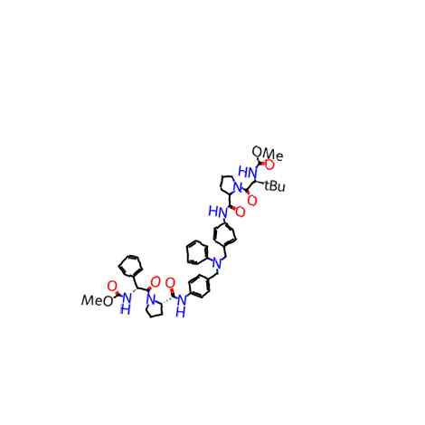 COC(=O)N[C@H](C(=O)N1CCCC1C(=O)Nc1ccc(CN(Cc2ccc(NC(=O)[C@@H]3CCCN3C(=O)[C@H](NC(=O)OC)c3ccccc3)cc2)c2ccccc2)cc1)C(C)(C)C